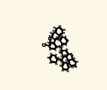 Clc1ccc(N(c2ccccc2)c2cc(N(c3ccccc3)c3ccccc3)c3c(c2)sc2ccccc23)c2c1oc1cc3ccccc3cc12